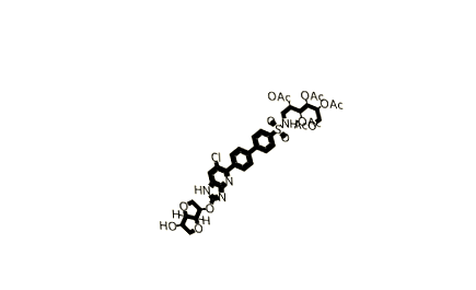 CC(=O)OC[C@@H](OC(C)=O)[C@@H](OC(C)=O)[C@H](OC(C)=O)[C@H](CNS(=O)(=O)c1ccc(-c2ccc(-c3nc4nc(O[C@@H]5CO[C@H]6[C@@H]5OC[C@H]6O)[nH]c4cc3Cl)cc2)cc1)OC(C)=O